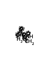 C=CC(=C)C(Nc1ccccc1)c1ccccc1I.Ic1ccccc1C=Nc1ccccc1